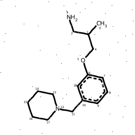 CC(CN)COc1cccc(CN2CCCCC2)c1